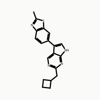 Cc1nc2ccc(-c3c[nH]c4nc(CC5CCC5)ncc34)cc2s1